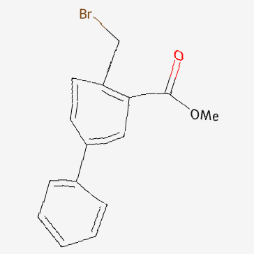 COC(=O)c1cc(-c2ccccc2)ccc1CBr